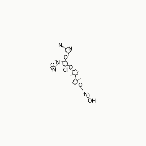 Cc1c(COc2cc(OCc3cncc(C#N)c3)c(CN(C)Cc3ncco3)cc2Cl)cccc1-c1cccc(OCCCN2CCC(O)C2)c1C